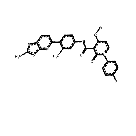 CCOc1ccn(-c2ccc(F)cc2)c(=O)c1C(=O)Nc1ccc(-c2ccc3nc(N)sc3n2)c(C)c1